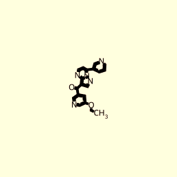 CCOc1cncc(C(=O)c2cnn3c(-c4cccnc4)ccnc23)c1